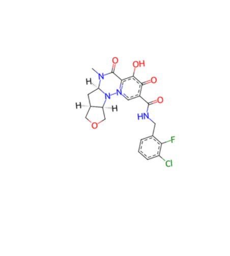 CN1C(=O)c2c(O)c(=O)c(C(=O)NCc3cccc(Cl)c3F)cn2N2[C@H]3COC[C@H]3C[C@@H]12